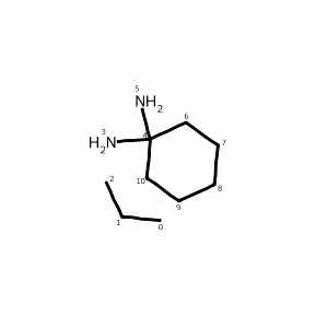 CCC.NC1(N)CCCCC1